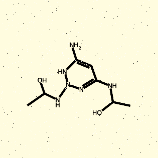 CC(O)NC1=NN(NC(C)O)NC(N)=C1